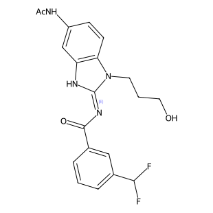 CC(=O)Nc1ccc2c(c1)[nH]/c(=N\C(=O)c1cccc(C(F)F)c1)n2CCCO